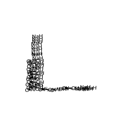 [NaH].[NaH].[NaH].[NaH].[NaH].[NaH].[NaH].[NaH].[NaH].[NaH].[NaH].[NaH].[NaH].[NaH].[O]=[Al][OH].[O]=[Al][OH].[O]=[Al][OH].[O]=[Al][OH].[O]=[Al][OH].[O]=[Al][OH].[O]=[Al][OH].[O]=[Al][OH].[O]=[Al][OH].[O]=[Al][OH].[O]=[Al][OH].[O]=[Al][OH].[O]=[Al][OH].[O]=[Al][OH].[O]=[Al][OH]